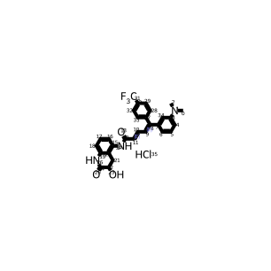 CN(C)c1cccc(/C(=C/C=C/C(=O)Nc2cccc3c2CC(O)C(=O)N3)c2ccc(C(F)(F)F)cc2)c1.Cl